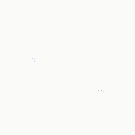 C=CCC12CCN=C1C(Br)Cc1ccc(OC)cc12.CBr